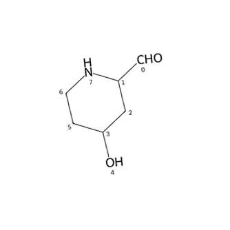 O=CC1CC(O)CCN1